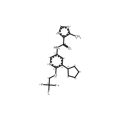 Cc1ocnc1C(=O)Nc1cnc(OCC(F)(F)F)c(C2CCCC2)c1